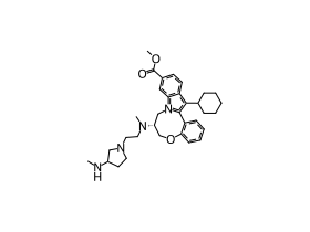 CNC1CCN(CCN(C)[C@H]2COc3ccccc3-c3c(C4CCCCC4)c4ccc(C(=O)OC)cc4n3C2)C1